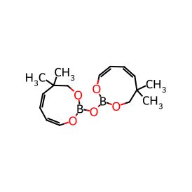 CC1(C)C=CC=COB(OB2OC=CC=CC(C)(C)CO2)OC1